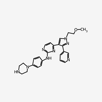 COCCn1cc(-c2ccnc(Nc3ccc(N4CCNCC4)cc3)n2)c(-c2cccnc2)n1